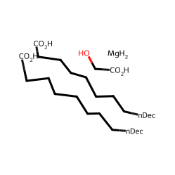 CCCCCCCCCCCCCCCCCC(=O)O.CCCCCCCCCCCCCCCCCC(=O)O.O=C(O)CO.[MgH2]